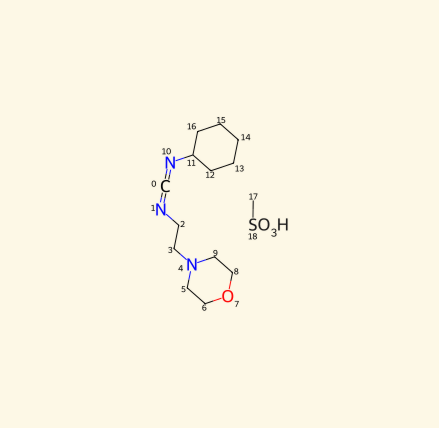 C(=NCCN1CCOCC1)=NC1CCCCC1.CS(=O)(=O)O